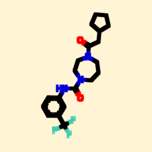 O=C(CC1CCCC1)N1CCCN(C(=O)Nc2cccc(C(F)(F)F)c2)CC1